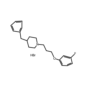 Br.Fc1cccc(OCCCN2CCC(Cc3ccccc3)CC2)c1